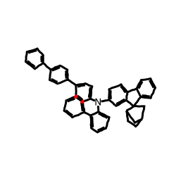 c1ccc(-c2ccc(-c3ccc(N(c4ccc5c(c4)C4(CC6CCC4C6)c4ccccc4-5)c4ccccc4-c4ccccc4)cc3)cc2)cc1